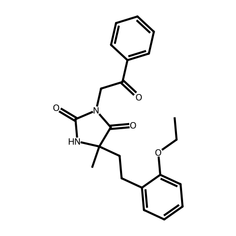 CCOc1ccccc1CCC1(C)NC(=O)N(CC(=O)c2ccccc2)C1=O